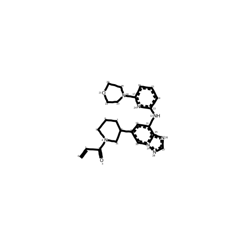 C=CC(=O)N1CCCC(c2cc(Nc3cccc(N4CCOCC4)n3)c3ncnn3c2)C1